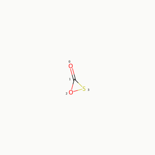 O=C1OS1